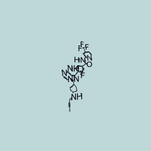 CC#CCNC1CC=C(c2nc(-c3ccc(C(=O)Nc4cc(C(F)(F)F)ccn4)cc3F)c3c(N)nccn23)CC1